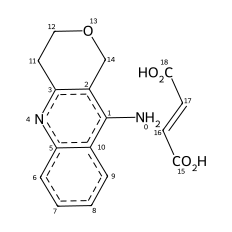 Nc1c2c(nc3ccccc13)CCOC2.O=C(O)C=CC(=O)O